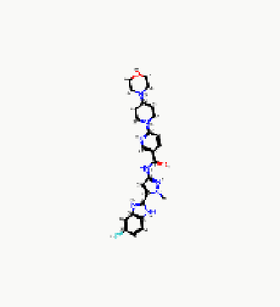 Cn1nc(NC(=O)c2ccc(N3CCC(N4CCOCC4)CC3)nc2)cc1-c1nc2cc(F)ccc2[nH]1